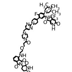 C[C@@H]1CN(c2cc(F)c(C3=CCN(c4ncc(CN5CCN(C(=O)CCOCCNc6cccc7c6C(=O)N(C6CCC(=O)NC6=O)C7=O)CC5)cn4)CC3)cc2NC(=O)c2c[nH]c(=O)cc2C(F)(F)F)C[C@H](C)N1C